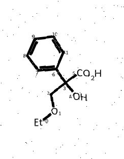 CCOCC(O)(C(=O)O)c1ccccc1